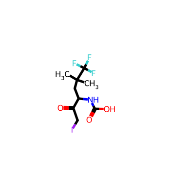 CC(C)(CC(NC(=O)O)C(=O)CI)C(F)(F)F